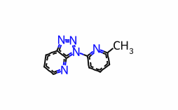 Cc1cccc(-n2nnc3cccnc32)n1